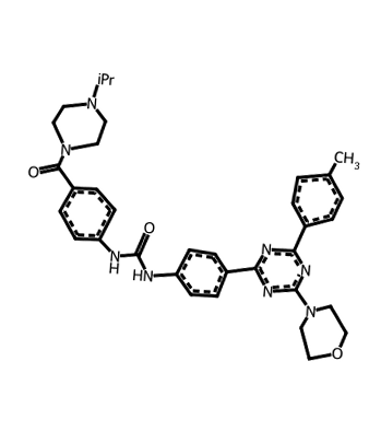 Cc1ccc(-c2nc(-c3ccc(NC(=O)Nc4ccc(C(=O)N5CCN(C(C)C)CC5)cc4)cc3)nc(N3CCOCC3)n2)cc1